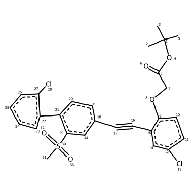 CC(C)(C)OC(=O)COc1ccc(Cl)cc1C#Cc1ccc(-c2ccccc2Cl)c(S(C)(=O)=O)c1